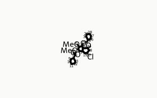 COc1c(OC)c(OC(=O)c2ccccc2)c2cc(Cl)ccc2c1OC(=O)c1ccccc1